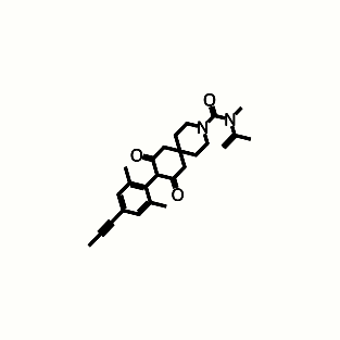 C=C(C)N(C)C(=O)N1CCC2(CC1)CC(=O)C(c1c(C)cc(C#CC)cc1C)C(=O)C2